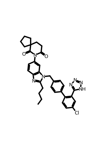 CCCCc1nc2ccc(N3C(=O)CCC4(CCCC4)C3=O)cc2n1Cc1ccc(-c2ccc(Cl)cc2-c2nnn[nH]2)cc1